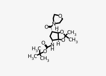 CC(C)(C)OC(=O)N[C@@H]1C[C@H](C(=O)N2CCOCC2)[C@H]2OC(C)(C)O[C@H]21